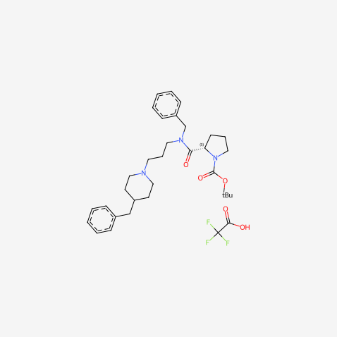 CC(C)(C)OC(=O)N1CCC[C@H]1C(=O)N(CCCN1CCC(Cc2ccccc2)CC1)Cc1ccccc1.O=C(O)C(F)(F)F